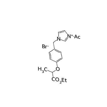 CCOC(=O)C(C)Oc1ccc(Cn2cc[n+](C(C)=O)c2)cc1.[Br-]